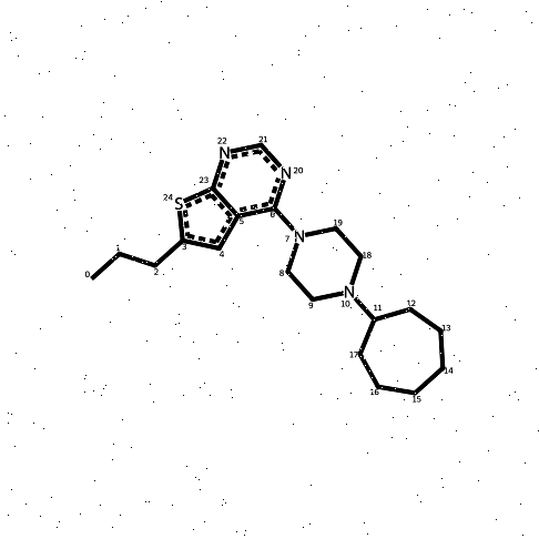 CCCc1cc2c(N3CCN(C4CCCCCC4)CC3)ncnc2s1